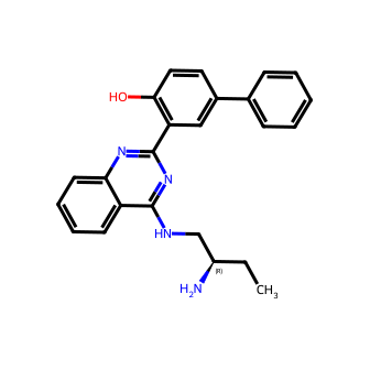 CC[C@@H](N)CNc1nc(-c2cc(-c3ccccc3)ccc2O)nc2ccccc12